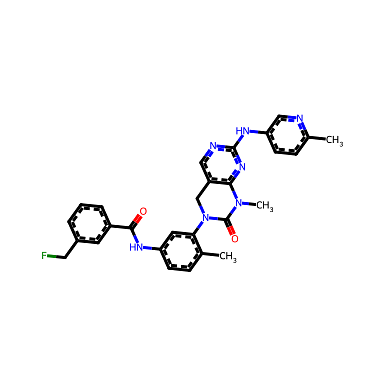 Cc1ccc(Nc2ncc3c(n2)N(C)C(=O)N(c2cc(NC(=O)c4cccc(CF)c4)ccc2C)C3)cn1